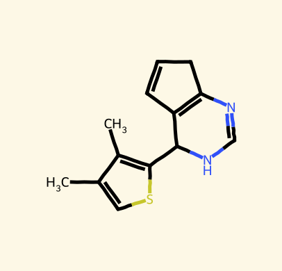 Cc1csc(C2NC=NC3=C2C=CC3)c1C